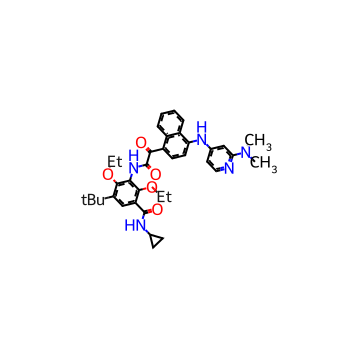 CCOc1c(C(=O)NC2CC2)cc(C(C)(C)C)c(OCC)c1NC(=O)C(=O)c1ccc(Nc2ccnc(N(C)C)c2)c2ccccc12